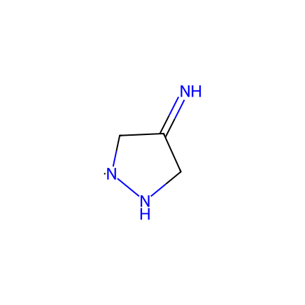 N=C1C[N]NC1